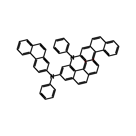 c1ccc(N(c2ccc3c(ccc4ccccc43)c2)c2cc(N(c3ccccc3)c3ccc4c(ccc5ccccc54)c3)c3c(ccc4ccccc43)c2)cc1